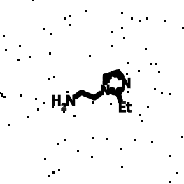 CCc1nccn1CCN